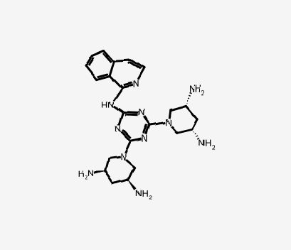 N[C@@H]1C[C@H](N)CN(c2nc(Nc3nccc4ccccc34)nc(N3C[C@H](N)C[C@H](N)C3)n2)C1